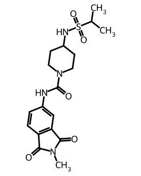 CC(C)S(=O)(=O)NC1CCN(C(=O)Nc2ccc3c(c2)C(=O)N(C)C3=O)CC1